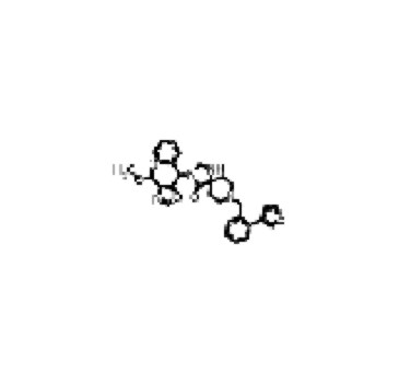 COC(=O)c1ncoc1C(c1ccccc1)N1CNC2(CCN(Cc3ccccc3-c3ccsc3)CC2)C1=O